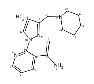 Cl.NC(=O)c1cccnc1-n1ccc(CN2CCCCC2)n1